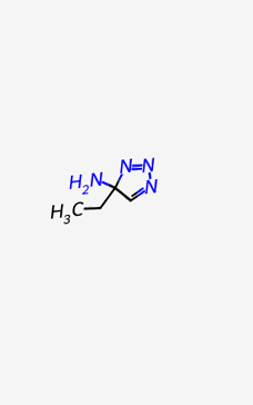 CCC1(N)C=NN=N1